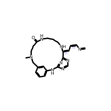 C=N/C=C\C=C1/NCCCNC(=O)CCN(C)Cc2cccc(c2)Nc2ncnc1n2